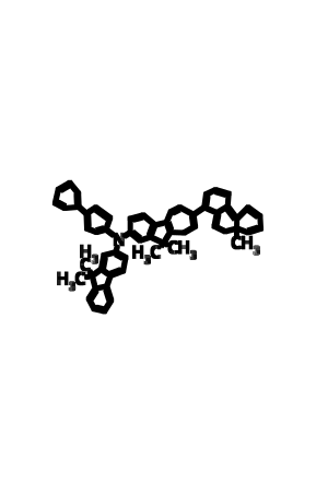 CC12C=CC=CC1=c1cccc(C3=CCC4=C(C=C3)c3ccc(N(c5ccc(-c6ccccc6)cc5)c5ccc6c(c5)C(C)(C)c5ccccc5-6)cc3C4(C)C)c1=CC2